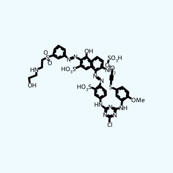 COc1ccc(SC#COOS(=O)(=O)O)cc1Nc1nc(Cl)nc(Nc2ccc(N=Nc3c(N)ccc4c(O)c(N=Nc5cccc(S(=O)(=O)CCNCCO)c5)c(S(=O)(=O)O)cc34)c(S(=O)(=O)O)c2)n1